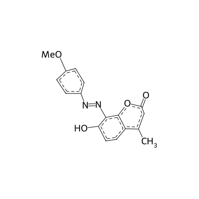 COc1ccc(N=Nc2c(O)ccc3c(C)cc(=O)oc23)cc1